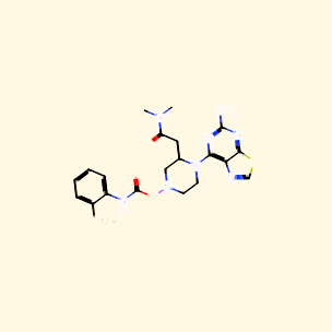 COc1ccccc1NC(=O)ON1CCN(c2nc(N)nc3scnc23)C(CC(=O)N(C)C)C1